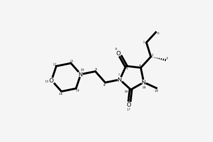 CC[C@H](C)C1C(=O)N(CCN2CCOCC2)C(=O)N1C